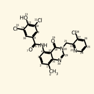 Cc1ccc(NC(=O)c2cc(Cl)c(O)c(Cl)c2)c2c(=O)n(Cc3ncccc3Cl)cnc12